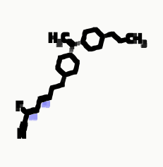 C=C([C@H]1CC[C@H](CCC)CC1)[C@H]1CC[C@H](CC/C=C/C=C(\F)C#N)CC1